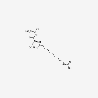 CC(C)[C@H](NC(=O)[C@H](CC(=O)O)NC(=O)CCCCCCCCCNC(=N)N)C(=O)O